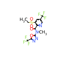 CCS(=O)(=O)c1cc(C(F)(F)F)cnc1C(=O)N(C)c1nnc(C(F)(F)F)o1